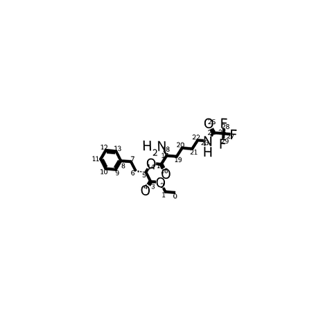 CCOC(=O)[C@H](CCc1ccccc1)OC(=O)[C@@H](N)CCCCNC(=O)C(F)(F)F